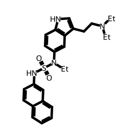 CCN(CC)CCc1c[nH]c2ccc(N(CC)S(=O)(=O)Nc3ccc4ccccc4c3)cc12